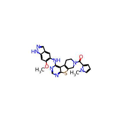 COc1cc2[nH]ncc2cc1Nc1ncnc2sc3c(c12)CCN(C(=O)c1cccn1C)C3